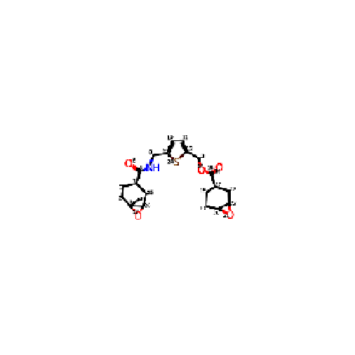 CC12CCC(C(=O)NCc3ccc(COC(=O)C4CCC5OC5C4)s3)CC1O2